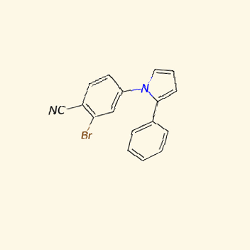 N#Cc1ccc(-n2cccc2-c2ccccc2)cc1Br